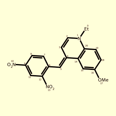 CCN1C=CC(=Cc2ccc([N+](=O)[O-])cc2[N+](=O)[O-])c2cc(OC)ccc21